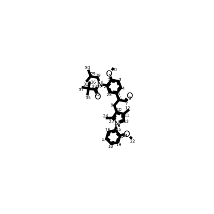 COc1ccc(C(C=O)Cc2c(C)cn(-c3ccccc3OC)c2C)cc1N(CC(C)C)C(=O)C(C)(C)C